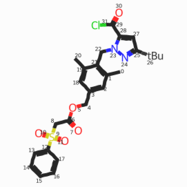 Cc1cc(COC(=O)CS(=O)(=O)c2ccccc2)cc(C)c1Cn1nc(C(C)(C)C)cc1C(=O)Cl